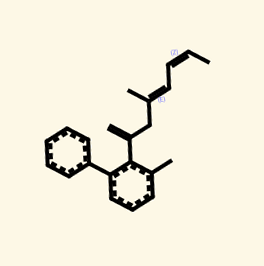 C=C(C/C(C)=C/C=C\C)c1c(C)cccc1-c1ccccc1